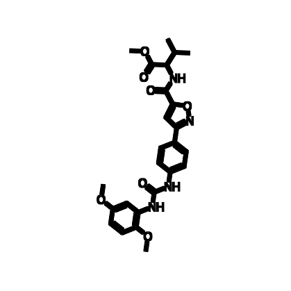 COC(=O)C(NC(=O)c1cc(-c2ccc(NC(=O)Nc3cc(OC)ccc3OC)cc2)no1)C(C)C